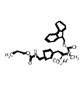 C=CCOC(=O)NCc1ccc(C[C@H](C(=O)O)N(C)C(=O)OCC2c3ccccc3-c3ccccc32)cc1